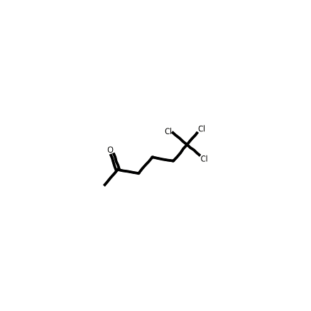 CC(=O)CCCC(Cl)(Cl)Cl